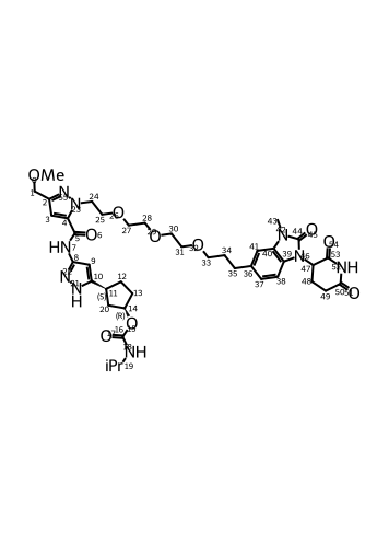 COCc1cc(C(=O)Nc2cc([C@H]3CC[C@@H](OC(=O)NC(C)C)C3)[nH]n2)n(CCOCCOCCOCCCc2ccc3c(c2)n(C)c(=O)n3C2CCC(=O)NC2=O)n1